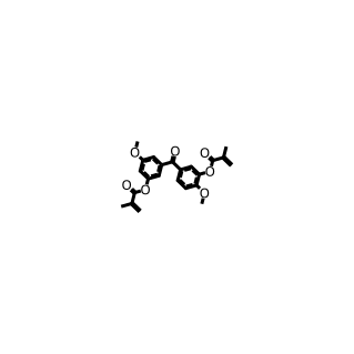 C=C(C)C(=O)Oc1cc(OC)cc(C(=O)c2ccc(OC)c(OC(=O)C(=C)C)c2)c1